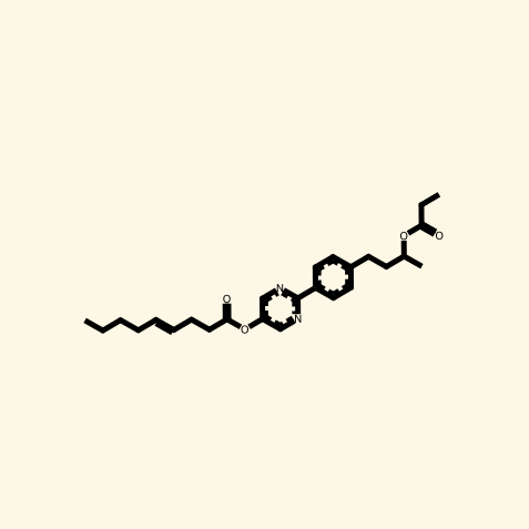 CCCC/C=C/CCC(=O)Oc1cnc(-c2ccc(CCC(C)OC(=O)CC)cc2)nc1